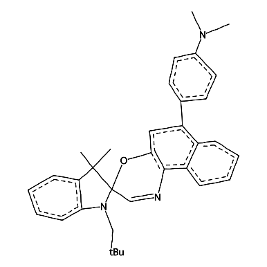 CN(C)c1ccc(-c2cc3c(c4ccccc24)N=CC2(O3)N(CC(C)(C)C)c3ccccc3C2(C)C)cc1